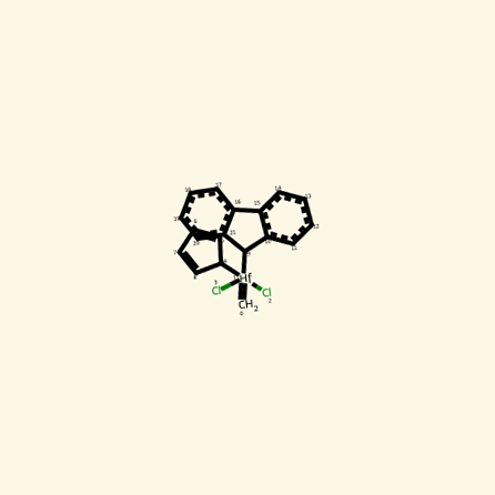 [CH2]=[Hf]([Cl])([Cl])([CH]1C=CC=C1)[CH]1c2ccccc2-c2ccccc21